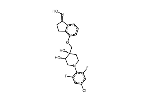 O/N=C1\CCc2c(OC[C@]3(O)CCN(c4c(F)cc(Cl)cc4F)C[C@H]3O)cccc21